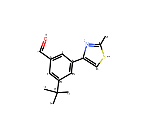 Cc1nc(-c2cc(C=O)cc(C(C)(C)C)c2)cs1